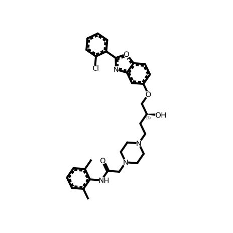 Cc1cccc(C)c1NC(=O)CN1CCN(CC[C@H](O)COc2ccc3oc(-c4ccccc4Cl)nc3c2)CC1